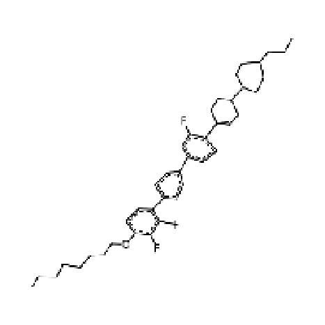 CCCCCCCCOc1ccc(-c2ccc(-c3ccc(C4=CCC(C5CCC(CCC)CC5)CC4)c(F)c3)cc2)c(F)c1F